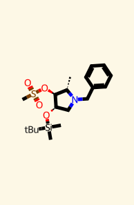 C[C@H]1[C@H](OS(C)(=O)=O)[C@@H](O[Si](C)(C)C(C)(C)C)CN1Cc1ccccc1